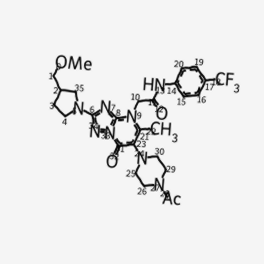 COCC1CCN(c2nc3n(CC(=O)Nc4ccc(C(F)(F)F)cc4)c(C)c(N4CCN(C(C)=O)CC4)c(=O)n3n2)C1